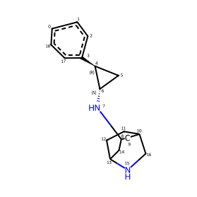 c1ccc([C@H]2C[C@@H]2NC2CC3CCC(C2)NC3)cc1